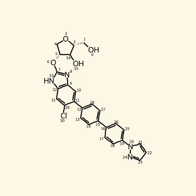 OC[C@H]1OC[C@@H](Oc2nc3cc(-c4ccc(-c5ccc(-n6cccn6)cc5)cc4)c(Cl)cc3[nH]2)C1O